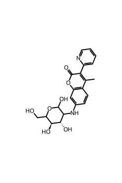 Cc1c(-c2ccccn2)c(=O)oc2cc(NC3C(O)OC(CO)[C@H](O)[C@H]3O)ccc12